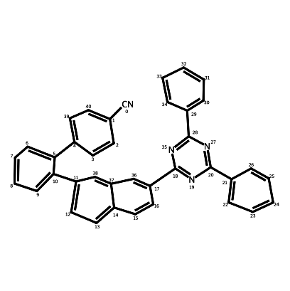 N#Cc1ccc(-c2ccccc2-c2ccc3ccc(-c4nc(-c5ccccc5)nc(-c5ccccc5)n4)cc3c2)cc1